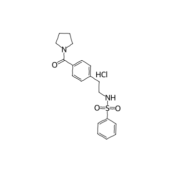 Cl.O=C(c1ccc(CCNS(=O)(=O)c2ccccc2)cc1)N1CCCC1